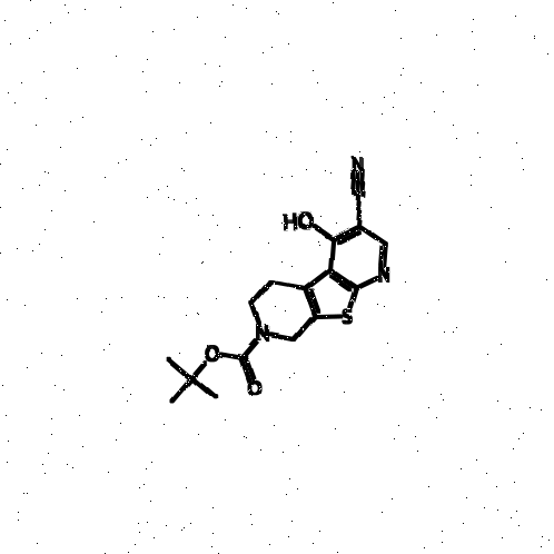 CC(C)(C)OC(=O)N1CCc2c(sc3ncc(C#N)c(O)c23)C1